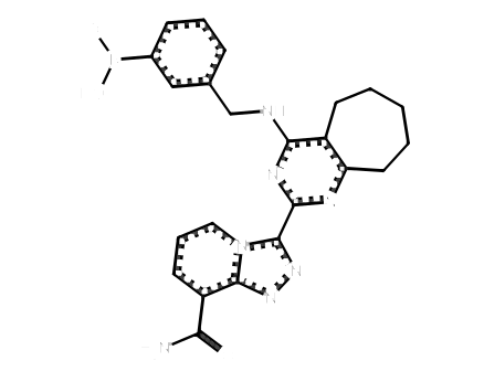 NC(=O)c1cccn2c(-c3nc4c(c(NCc5cccc(B(O)O)c5)n3)CCCCC4)nnc12